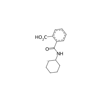 O=C(O)c1ccccc1C(=O)NC1[CH]CCCC1